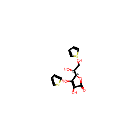 O=C1O[C@H]([C@@H](O)CO)C(O)=C1O.c1ccsc1.c1ccsc1